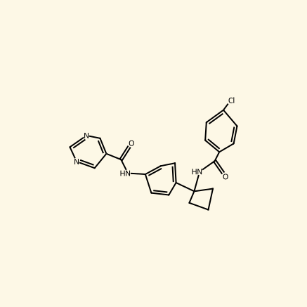 O=C(Nc1ccc(C2(NC(=O)c3ccc(Cl)cc3)CCC2)cc1)c1cncnc1